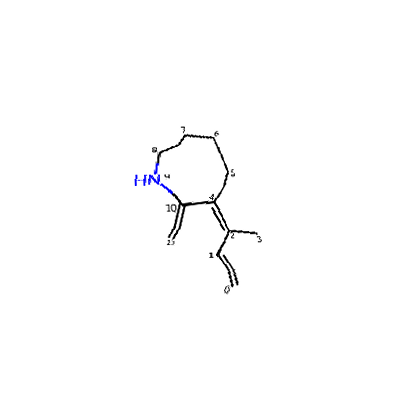 C=C/C(C)=C1/CCCCNC1=C